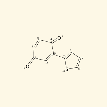 O=C1C=CC(=O)C(c2cccs2)=C1